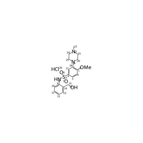 COc1ccc(S(=O)(=O)Nc2ccccc2CO)cc1N1CCN(C)CC1.Cl